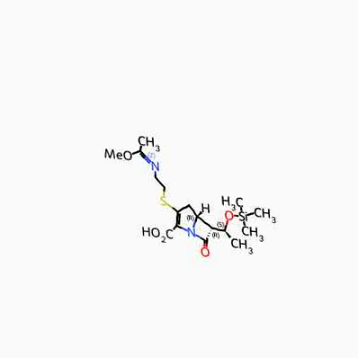 CO/C(C)=N\CCSC1=C(C(=O)O)N2C(=O)[C@@H]([C@H](C)O[Si](C)(C)C)[C@H]2C1